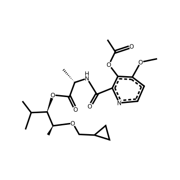 COc1ccnc(C(=O)N[C@@H](C)C(=O)O[C@H](C(C)C)[C@H](C)OCC2CC2)c1OC(C)=O